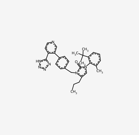 CCCc1cn(-c2c(C)cccc2C(C)(C)C)c(=O)n1Cc1ccc(-c2cnccc2-c2nnn[nH]2)cc1